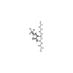 CCCCCCC(CCCCCC)[C@@H](SSC(C)(C)C)C(F)F